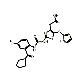 COc1ccc(NC(=O)Nc2nc(CC(=O)O)c(Sc3ncc[nH]3)s2)c(C(=O)C2CCCC2)c1